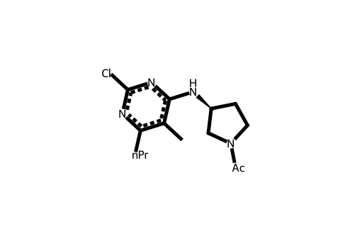 CCCc1nc(Cl)nc(N[C@H]2CCN(C(C)=O)C2)c1C